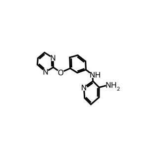 Nc1cccnc1Nc1cccc(Oc2ncccn2)c1